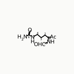 CC(=O)[C@H](CCCNC(N)=O)NC=O